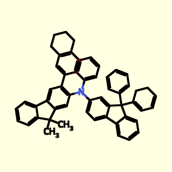 CC1(C)c2ccccc2-c2cc(-c3ccc4c(c3)CCCC4)c(N(c3ccccc3)c3ccc4c(c3)C(C3=CC=CCC3)(c3ccccc3)c3ccccc3-4)cc21